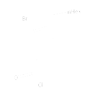 CCCCCCCc1ccc(C(=O)Cl)cc1Br